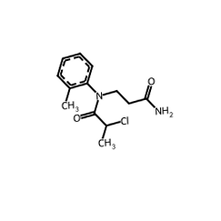 Cc1ccccc1N(CCC(N)=O)C(=O)C(C)Cl